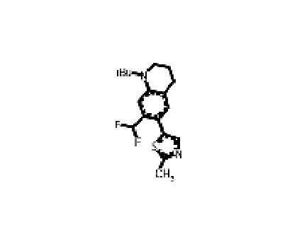 CCC(C)N1CCCc2cc(-c3cnc(C)s3)c(C(F)F)cc21